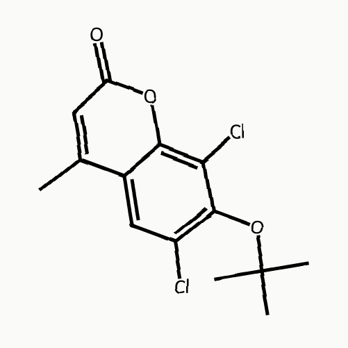 Cc1cc(=O)oc2c(Cl)c(OC(C)(C)C)c(Cl)cc12